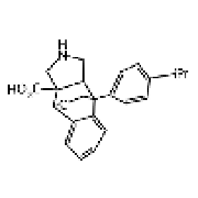 CC(C)c1ccc(C23CCC(c4ccccc42)C2(C(=O)O)CNCC32)cc1